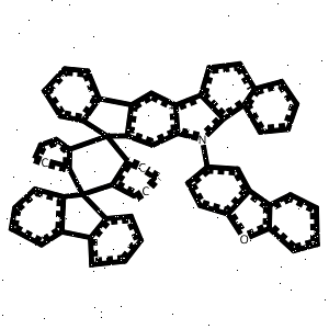 c1ccc2c(c1)-c1ccccc1C21c2ccccc2C2(c3ccccc3-c3cc4c5ccc6ccccc6c5n(-c5ccc6oc7ccccc7c6c5)c4cc32)c2ccccc21